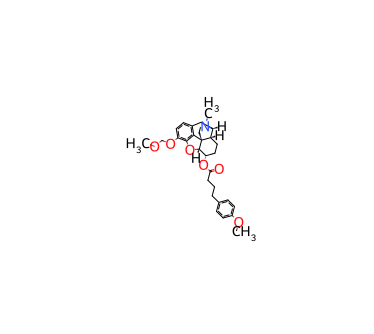 COCOc1ccc2c3c1O[C@H]1[C@@H](OC(=O)CCCc4ccc(OC)cc4)CC[C@H]4[C@@H](C2)N(C)CC[C@@]341